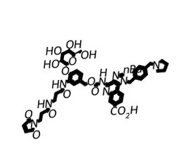 CCCCc1nc2c(NC(=O)OCc3ccc(O[C@H]4O[C@H](CO)[C@@H](O)[C@H](O)[C@@H]4O)c(NC(=O)CCNC(=O)CCN4C(=O)C=CC4=O)c3)nc3cc(C(=O)O)ccc3c2n1Cc1ccc(CN2CCCC2)cc1